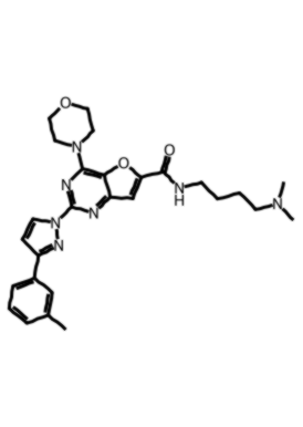 Cc1cccc(-c2ccn(-c3nc(N4CCOCC4)c4oc(C(=O)NCCCCN(C)C)cc4n3)n2)c1